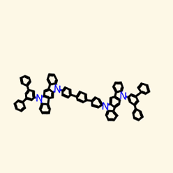 c1ccc(-c2cc(-c3ccccc3)cc(-n3c4ccccc4c4cc5c(cc43)c3ccccc3n5-c3ccc(-c4ccc(-c5ccc(-n6c7ccccc7c7cc8c(cc76)c6ccccc6n8-c6cc(-c7ccccc7)cc(-c7ccccc7)c6)cc5)cc4)cc3)c2)cc1